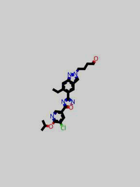 CCc1cc2nn(CCCC=O)cc2cc1-c1noc(-c2cnc(OC(C)C)c(Cl)c2)n1